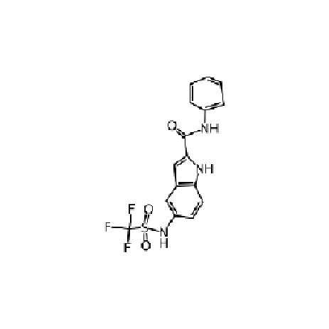 O=C(Nc1ccccc1)c1cc2cc(NS(=O)(=O)C(F)(F)F)ccc2[nH]1